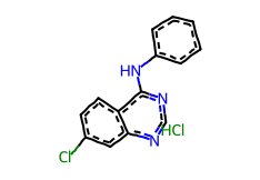 Cl.Clc1ccc2c(Nc3ccccc3)ncnc2c1